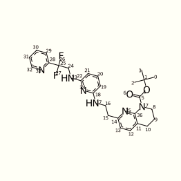 CC(C)(C)OC(=O)N1CCCc2ccc(CCNc3cccc(NCC(F)(F)c4ccccn4)n3)nc21